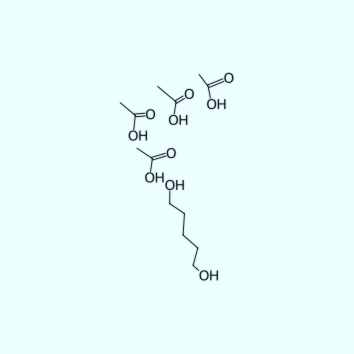 CC(=O)O.CC(=O)O.CC(=O)O.CC(=O)O.OCCCCCO